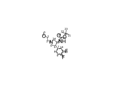 COCCN1CC(c2ccc(F)c(F)c2)[C@H](NC(=O)OC(C)(C)C)C1